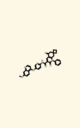 COc1ccc2c(Oc3ccc(NC(=O)c4cc5c(n(-c6ccccc6)c4=O)CC4(CCC4)CC5=O)nc3)ccnc2c1